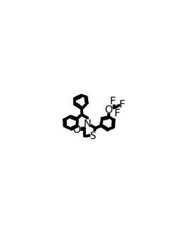 O=C1CSC(c2cccc(OC(F)(F)F)c2)N1CC(c1ccccc1)c1ccccc1